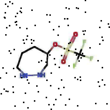 O=S(=O)(OC1CCCNNC1)C(F)(F)F